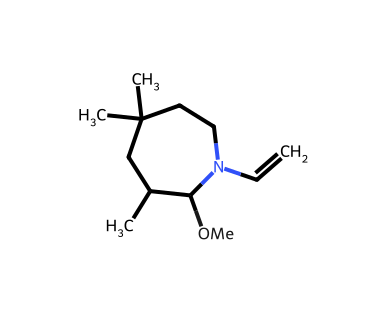 C=CN1CCC(C)(C)CC(C)C1OC